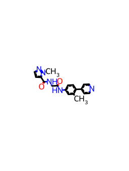 Cc1cc(NC(=O)CNC(=O)c2ccnn2C)ccc1-c1ccncc1